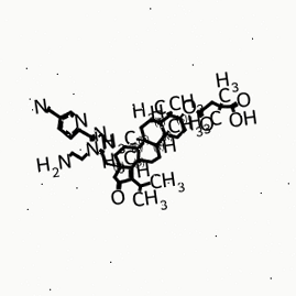 CC(C)C1=C2[C@H]3CC[C@@H]4[C@@]5(C)CC[C@H](OC(=O)CC(C)(C)C(=O)O)C(C)(C)[C@@H]5CC[C@@]4(C)[C@]3(C)CC[C@@]2(Cc2nnc(-c3ccc(C#N)cn3)n2CCN)CC1=O